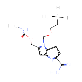 CNC(=O)OCc1cc2nc(C(=N)N)ccc2n1COCC[Si](C)(C)C